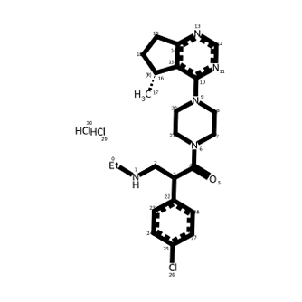 CCNCC(C(=O)N1CCN(c2ncnc3c2[C@H](C)CC3)CC1)c1ccc(Cl)cc1.Cl.Cl